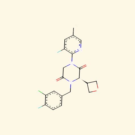 COc1cnc(N2CC(=O)N(Cc3ccc(F)c(Cl)c3)[C@H](C3COC3)C2=O)c(F)c1